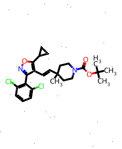 CC1(C=Cc2c(-c3c(Cl)cccc3Cl)noc2C2CC2)CCN(C(=O)OC(C)(C)C)CC1